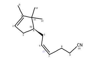 CC1=CC[C@H](C/C=C\CCC#N)C1(C)C